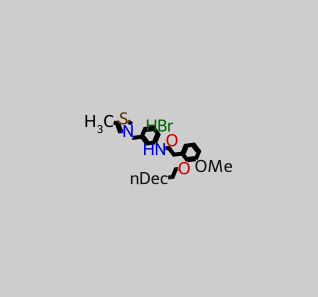 Br.CCCCCCCCCCCCOc1c(CC(=O)Nc2cccc(CN3C=C(C)SC3)c2)cccc1OC